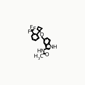 CC(=O)Nc1c[nH]c2ccc(COC3(c4ccccc4C(F)(F)F)CCC3)cc12